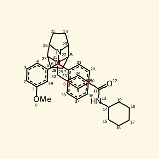 COc1cccc(C(c2ccc(C(=O)NC3CCCCC3)cc2)N2C3CCC2C2CCC3N2Cc2ccccc2)c1